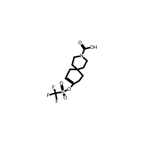 O=C(O)N1CCC2(CC=C(OS(=O)(=O)C(F)(F)F)CC2)CC1